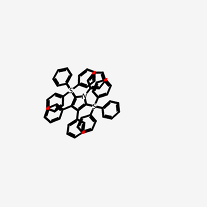 c1ccc(-c2c(-c3ccccc3)c(S(c3ccccc3)(c3ccccc3)c3ccccc3)n(-c3ccccc3)c2S(c2ccccc2)(c2ccccc2)c2ccccc2)cc1